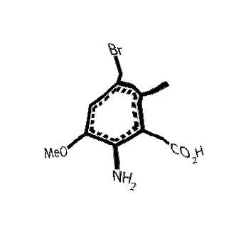 COc1cc(Br)c(C)c(C(=O)O)c1N